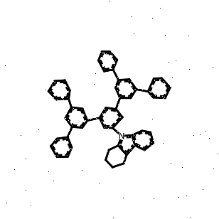 c1ccc(-c2cc(-c3ccccc3)cc(-c3cc(-c4cc(-c5ccccc5)cc(-c5ccccc5)c4)cc(-n4c5c(c6ccccc64)CCCC5)c3)c2)cc1